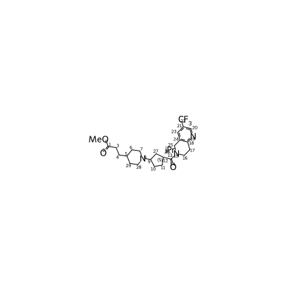 COC(=O)CCC1CCN(C2CC[C@@](C(=O)N3CCc4ncc(C(F)(F)F)cc4C3)(C(C)C)C2)CC1